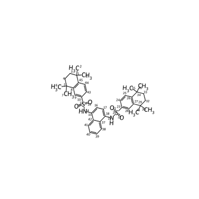 CC1(C)CCC(C)(C)c2cc(S(=O)(=O)Nc3ccc(NS(=O)(=O)c4ccc5c(c4)C(C)(C)CCC5(C)C)c4ccccc34)ccc21